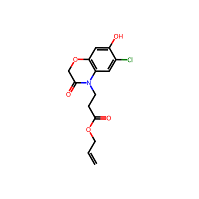 C=CCOC(=O)CCN1C(=O)COc2cc(O)c(Cl)cc21